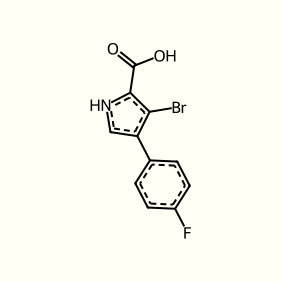 O=C(O)c1[nH]cc(-c2ccc(F)cc2)c1Br